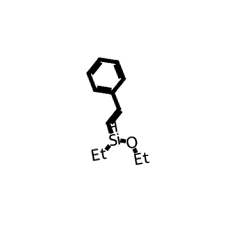 CCO[SiH](C=Cc1ccccc1)CC